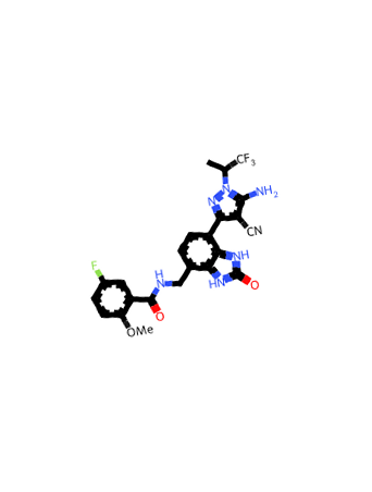 COc1ccc(F)cc1C(=O)NCc1ccc(-c2nn(C(C)C(F)(F)F)c(N)c2C#N)c2[nH]c(=O)[nH]c12